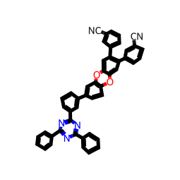 N#Cc1cccc(-c2cc3c(cc2-c2cccc(C#N)c2)Oc2cc(-c4cccc(-c5nc(-c6ccccc6)nc(-c6ccccc6)n5)c4)ccc2O3)c1